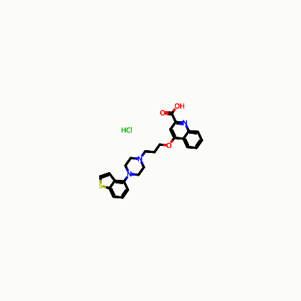 Cl.O=C(O)c1cc(OCCCN2CCN(c3cccc4sccc34)CC2)c2ccccc2n1